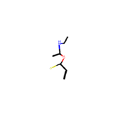 CCNC(C)OC([S])CC